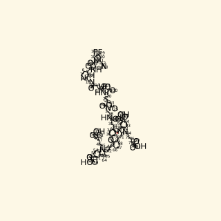 C[C@H](NC(=O)c1ccnc(CNC(=O)CCC(=O)NC(CSC2CC(=O)N(CCNC(=O)CCc3ccc(OC4=C(/C=C/C5=[N+](CCCCS(=O)(=O)O)c6ccc(S(=O)(=O)O)cc6C5(C)C)CCC/C4=C\C=C4\N(CCCCS(=O)(=O)O)c5ccc(S(=O)(=O)O)cc5C4(C)C)cc3)C2=O)C(=O)O)c1)C(=O)N1CC(F)(F)C[C@H]1C#N